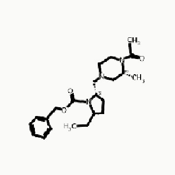 CCC1CC[C@@H](CN2CCN(C(C)=O)[C@H](C)C2)N1C(=O)OCc1ccccc1